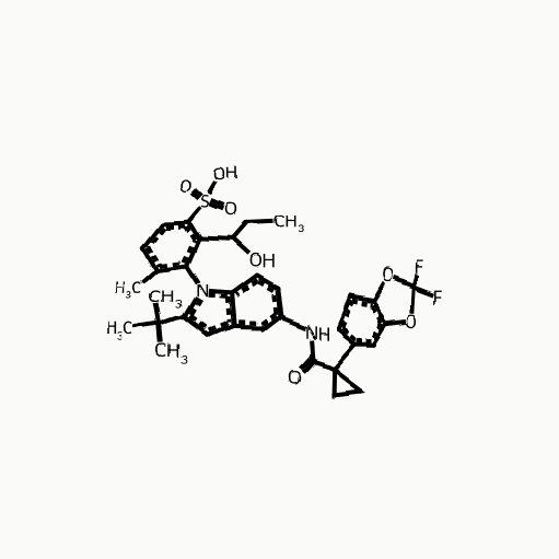 CCC(O)c1c(S(=O)(=O)O)ccc(C)c1-n1c(C(C)(C)C)cc2cc(NC(=O)C3(c4ccc5c(c4)OC(F)(F)O5)CC3)ccc21